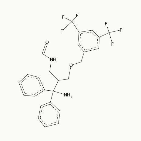 NC(c1ccccc1)(c1ccccc1)C(CNC=O)COCc1cc(C(F)(F)F)cc(C(F)(F)F)c1